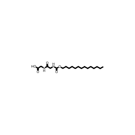 CCCCCCCCCCCCCCOC(=O)NCC(=O)NCC(=O)O